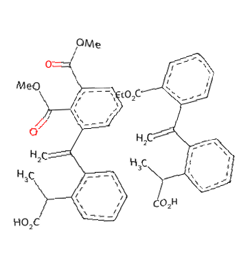 C=C(c1ccccc1C(=O)OCC)c1ccccc1C(C)C(=O)O.C=C(c1ccccc1C(C)C(=O)O)c1cccc(C(=O)OC)c1C(=O)OC